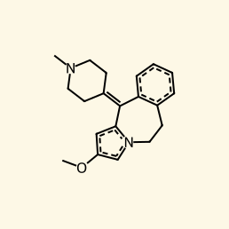 COc1cc2n(c1)CCc1ccccc1C2=C1CCN(C)CC1